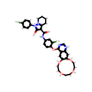 O=C(Nc1ccc(Oc2ncnc3cc4c(cc23)OCCOCCOCCO4)c(F)c1)c1c2n(n(-c3ccc(F)cc3)c1=O)CCCC2